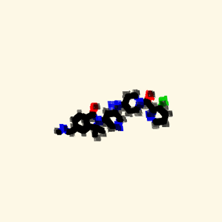 C/N=C/c1ccc2c(c1)C(C)(C)N(c1cncc(NC3CCN(C(=O)c4ncccc4Cl)CC3)c1)C2=O